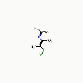 CC/C(C#N)=N\C(=C(/C)CBr)[N+](=O)[O-]